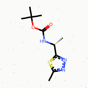 Cc1nnc([C@@H](C)NC(=O)OC(C)(C)C)s1